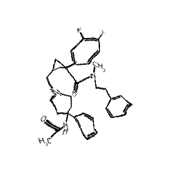 CC(=O)NC1(c2ccccc2)CCN(CC2CC2(C(=O)N(C)CCc2ccccc2)c2ccc(F)c(F)c2)CC1